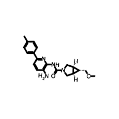 COC[C@@H]1[C@H]2CN(C(=O)Nc3nc(-c4ccc(C)cc4)ccc3N)C[C@@H]12